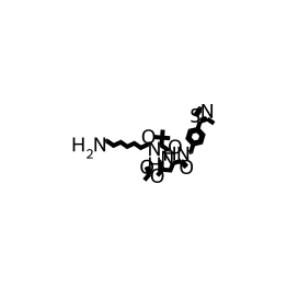 CC(=O)OC1CC(C(=O)NCc2ccc(-c3scnc3C)cc2)N(C(=O)C(NC(=O)CCCCCCN)C(C)(C)C)C1